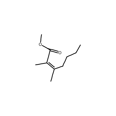 CCCCC(C)=C(C)C(=O)OC